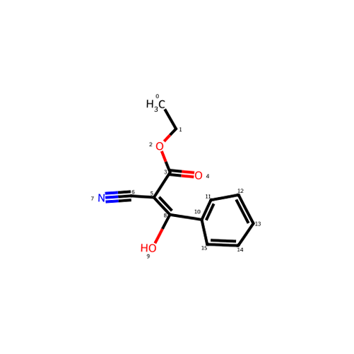 CCOC(=O)C(C#N)=C(O)c1ccccc1